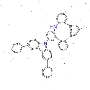 c1ccc(-c2ccc3c(c2)c2cc(-c4ccccc4)ccc2n3-c2ccc3c(c2)-c2ccccc2-c2cccc(c2)-c2ccccc2N3)cc1